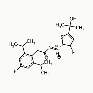 CC(C)c1cc(F)cc(C(C)C)c1CC(=O)N=[S@@H](=O)C1SC(C(C)(C)O)=CC1F